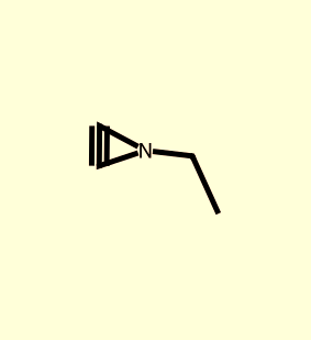 CCN1C#C1